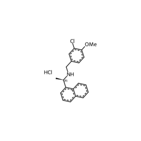 COc1ccc(CN[C@H](C)c2cccc3ccccc23)cc1Cl.Cl